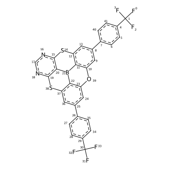 FC(F)(F)c1ccc(-c2cc3c4c(c2)Sc2ncnc5c2B4c2c(cc(-c4ccc(C(F)(F)F)cc4)cc2S5)O3)cc1